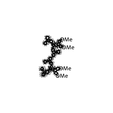 COc1ccc2c(c1)c1cc(OC)ccc1c1nc3c(-c4ccc5c6cc(-c7ccc8c(c7)c7ccc(-c9sc(-c%10ccc%11c%12ccccc%12n(-c%12ccccc%12)c%11c%10)c%10nc%11c%12ccc(OC)cc%12c%12cc(OC)ccc%12c%11nc9%10)cc7n8-c7ccccc7)ccc6n(-c6ccccc6)c5c4)sc(-c4ccc5c6ccccc6n(-c6ccccc6)c5c4)c3nc21